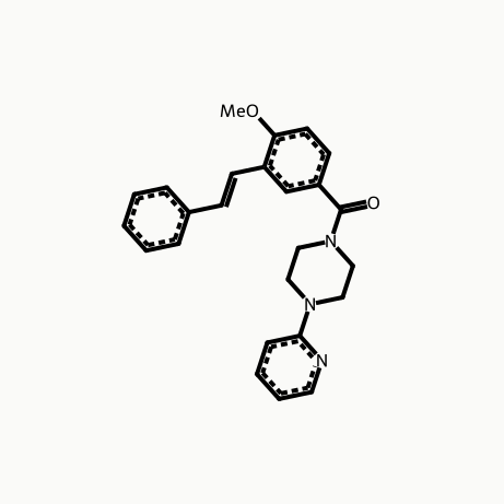 COc1ccc(C(=O)N2CCN(c3ccccn3)CC2)cc1C=Cc1ccccc1